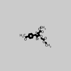 CCOC(=O)COc1c(C(=O)OC)sc(-c2ccc(C(C)=O)cc2)c1Br